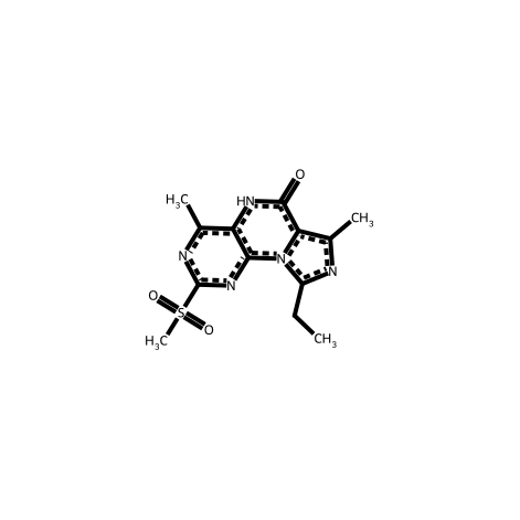 CCc1nc(C)c2c(=O)[nH]c3c(C)nc(S(C)(=O)=O)nc3n12